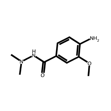 COc1cc(C(=O)NN(C)C)ccc1N